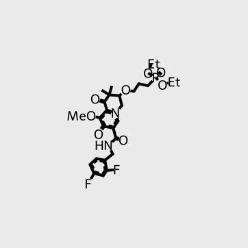 CCOP(=O)(CCCOC1Cn2cc(C(=O)NCc3ccc(F)cc3F)c(=O)c(OC)c2C(=O)C1(C)C)OCC